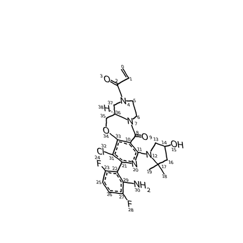 C=CC(=O)N1CCN2C(=O)c3c(N4CC(O)CC4(C)C)nc(-c4c(F)ccc(F)c4N)c(Cl)c3OC[C@H]2C1